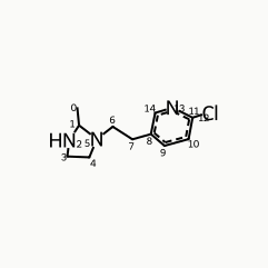 CC1NCCN1CCc1ccc(Cl)nc1